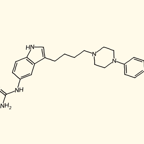 NC(=O)Nc1ccc2[nH]cc(CCCCN3CCN(c4ccccc4)CC3)c2c1